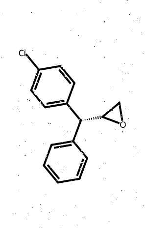 Clc1ccc([C@@H](c2ccccc2)C2CO2)cc1